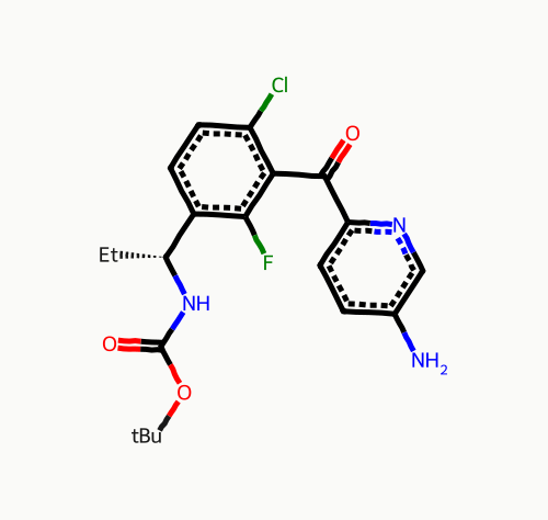 CC[C@@H](NC(=O)OC(C)(C)C)c1ccc(Cl)c(C(=O)c2ccc(N)cn2)c1F